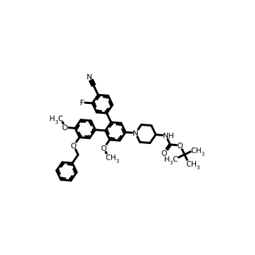 COc1ccc(-c2c(OC)cc(N3CCC(NC(=O)OC(C)(C)C)CC3)cc2-c2ccc(C#N)c(F)c2)cc1OCc1ccccc1